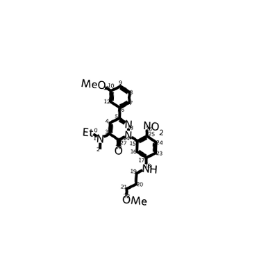 CCN(C)c1cc(-c2cccc(OC)c2)nn(-c2cc(NCCCOC)ccc2[N+](=O)[O-])c1=O